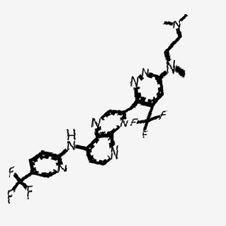 CN(C)CCN(C)c1cc(C(F)(F)F)c(-c2cnc3c(Nc4ccc(C(F)(F)F)cn4)ccnc3n2)nn1